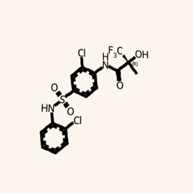 C[C@@](O)(C(=O)Nc1ccc(S(=O)(=O)Nc2ccccc2Cl)cc1Cl)C(F)(F)F